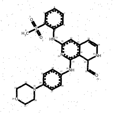 CS(=O)(=O)c1ccccc1Nc1cc2c(c(Nc3ccc(N4CCOCC4)cc3)n1)C(C=O)NC=C2